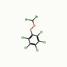 Clc1c(Cl)c(Cl)c(SOC(Br)Br)c(Cl)c1Cl